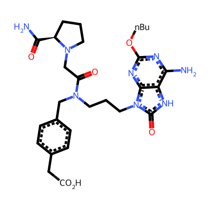 CCCCOc1nc(N)c2[nH]c(=O)n(CCCN(Cc3ccc(CC(=O)O)cc3)C(=O)CN3CCC[C@@H]3C(N)=O)c2n1